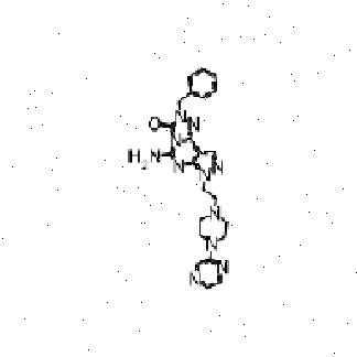 Nc1nc2c(cnn2CCN2CCN(c3cnccn3)CC2)c2nn(Cc3ccccc3)c(=O)n12